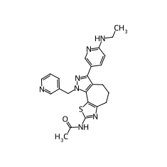 CCNc1ccc(-c2nn(Cc3cccnc3)c3c2CCCc2nc(NC(C)=O)sc2-3)cn1